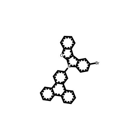 Brc1ccc2c(c1)c1c3ccccc3oc1n2-c1ccc2c3ccccc3c3ccccc3c2c1